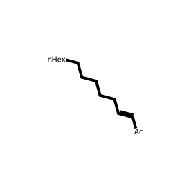 CCCCCCCCCCCC=CC(C)=O